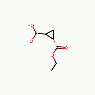 CCOC(=O)[C@H]1CC1B(O)O